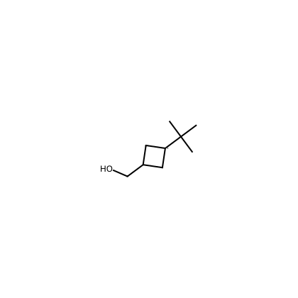 CC(C)(C)[C]1CC(CO)C1